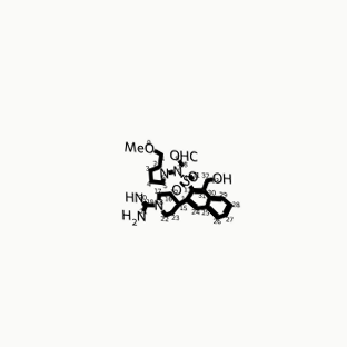 COCC1CCCN1N(CC=O)S(=O)(=O)c1c(C2CCN(C(=N)N)CC2)cc2ccccc2c1CO